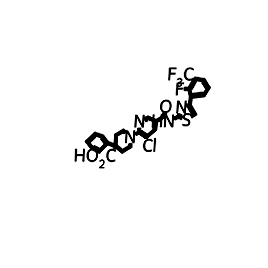 O=C(Nc1nc(-c2cccc(C(F)(F)F)c2F)cs1)c1cnc(N2CCC(C(=O)O)(c3ccccc3)CC2)c(Cl)c1